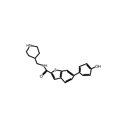 O=C(NCC1CCNCC1)c1cc2ccc(-c3ccc(O)cc3)cc2s1